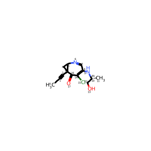 CC#CC12CC1N=CC(N[C@H](C)CO)=C(Cl)C2=O